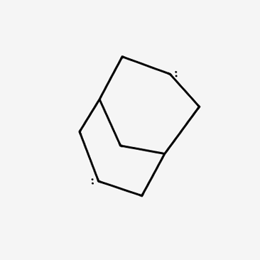 [C]1CC2C[C]CC(C1)C2